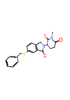 CN1C(=O)CCC(N2Cc3ccc(SCc4ccccc4)cc3C2=O)C1=O